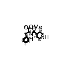 COC(=O)C(Cc1ccccc1)NC(=O)C1CCNCC1